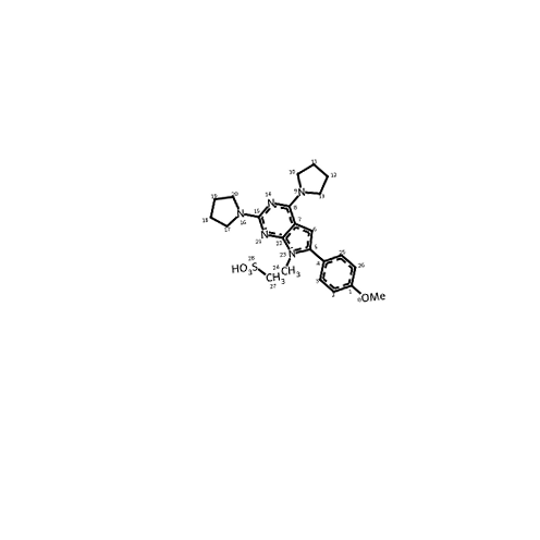 COc1ccc(-c2cc3c(N4CCCC4)nc(N4CCCC4)nc3n2C)cc1.CS(=O)(=O)O